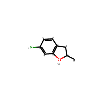 CC1Cc2ccc(F)cc2O1